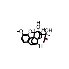 COc1ccc2c3c1O[C@@]1(C)C34CCC[C@H](C2)[C@]42CC[C@@]1(O)[C@@H]([C@](C)(O)C(C)(C)C)C2